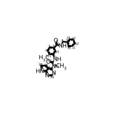 Cc1ccc(C(=O)NCc2ccccc2)cc1NC(=O)N(C)c1ncnc2[nH]ccc12